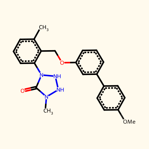 COc1ccc(-c2cccc(OCc3c(C)cccc3N3NNN(C)C3=O)c2)cc1